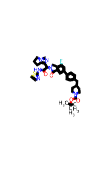 CC(C)(C)OC(=O)N1CCC(Cc2ccc(-c3cc(F)c4c(c3)C(=O)N(C(C(=O)Nc3nccs3)c3ncn5c3CCC5)C4)cc2)CC1